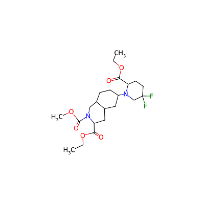 CCOC(=O)C1CC2CC(N3CC(F)(F)CCC3C(=O)OCC)CCC2CN1C(=O)OC